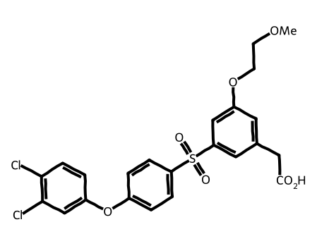 COCCOc1cc(CC(=O)O)cc(S(=O)(=O)c2ccc(Oc3ccc(Cl)c(Cl)c3)cc2)c1